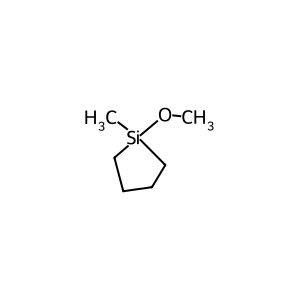 CO[Si]1(C)CCCC1